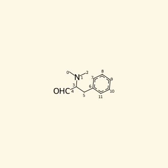 CN(C)C(C=O)Cc1ccccc1